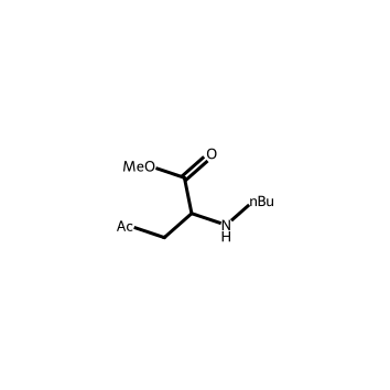 CCCCNC(CC(C)=O)C(=O)OC